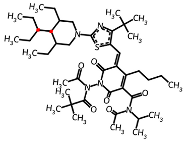 CCCCC1=C(C(=O)N(C(C)=O)C(C)C)C(=O)N(N(C(C)=O)C(=O)C(C)(C)C)C(=O)/C1=C\c1sc(N(CC(CC)CCCC)CC(CC)CCCC)nc1C(C)(C)C